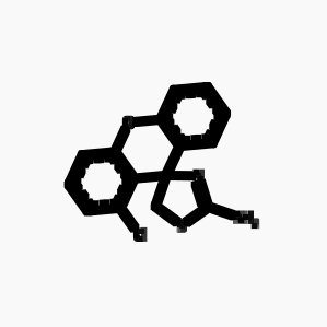 NC1=NC2(CS1)c1ccccc1Oc1cccc(Cl)c12